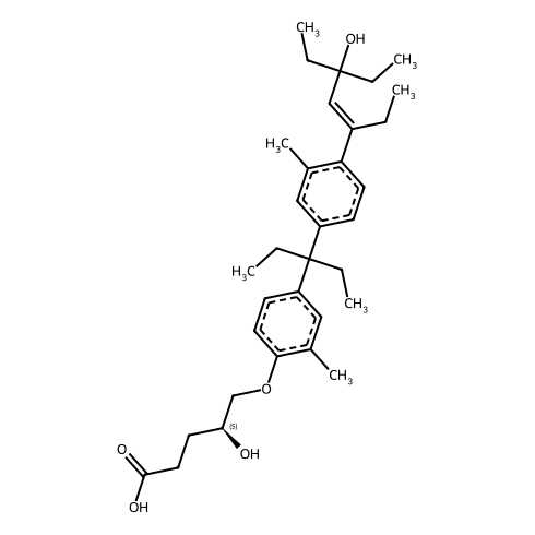 CCC(=CC(O)(CC)CC)c1ccc(C(CC)(CC)c2ccc(OC[C@@H](O)CCC(=O)O)c(C)c2)cc1C